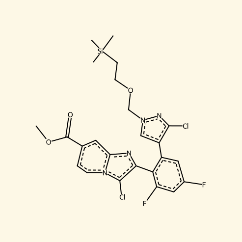 COC(=O)c1ccn2c(Cl)c(-c3c(F)cc(F)cc3-c3cn(COCC[Si](C)(C)C)nc3Cl)nc2c1